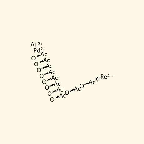 CC(=O)[O-].CC(=O)[O-].CC(=O)[O-].CC(=O)[O-].CC(=O)[O-].CC(=O)[O-].CC(=O)[O-].CC(=O)[O-].CC(=O)[O-].CC(=O)[O-].[Au+3].[K+].[Pd+2].[Re+4]